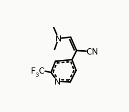 CN(C)/C=C(/C#N)c1ccnc(C(F)(F)F)c1